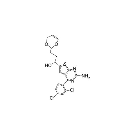 Nc1nc(-c2ccc(Cl)cc2Cl)c2cc(C(O)CCC3OC=CCO3)sc2n1